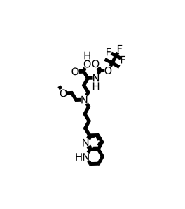 COCCN(CCCCc1ccc2c(n1)NCCC2)CCC(NC(=O)OC(C)(C)C(F)(F)F)C(=O)O